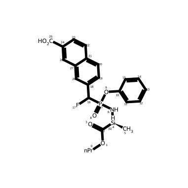 CCCOC(=O)[Si@H](C)NP(=O)(Oc1ccccc1)C(F)c1ccc2ccc(C(=O)O)cc2c1